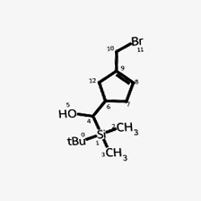 CC(C)(C)[Si](C)(C)C(O)C1CC=C(CBr)C1